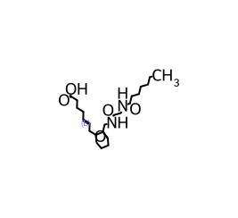 CCCCCCC(=O)NCC(=O)NCC1C2CCC(O2)C1C/C=C/CCCC(=O)O